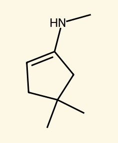 CNC1=CCC(C)(C)C1